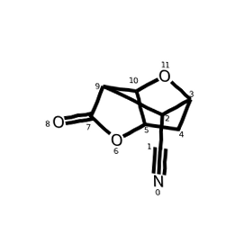 N#CC1C2CC3OC(=O)C1C3O2